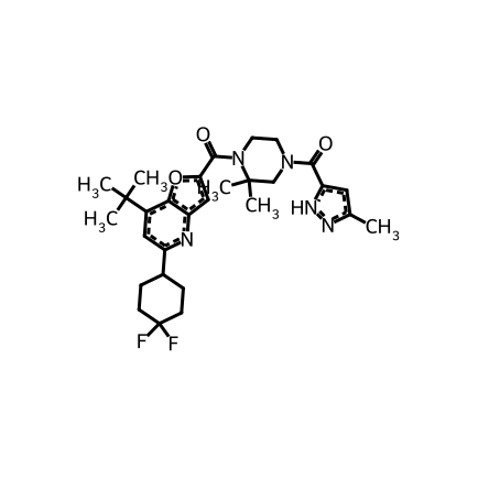 Cc1cc(C(=O)N2CCN(C(=O)c3cc4nc(C5CCC(F)(F)CC5)cc(C(C)(C)C)c4o3)C(C)(C)C2)[nH]n1